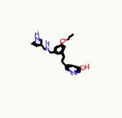 C=CCOc1cc(/C=C/c2cncc(O)c2)cc(CNCC2CCNC2)c1